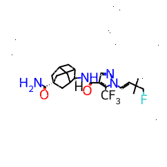 CC(C)(/C=C/n1ncc(C(=O)N[C@H]2C3CC4CC2C[C@](C(N)=O)(C4)C3)c1C(F)(F)F)CF